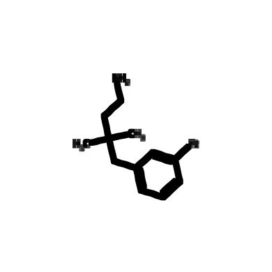 CCc1cccc(CC(C)(C)CCN)c1